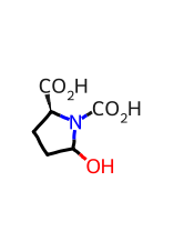 O=C(O)[C@@H]1CCC(O)N1C(=O)O